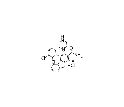 CCc1c2c(c(-c3cccc(Cl)c3Cl)c(N3CCNCC3)c1C(N)=O)-c1ccccc1C2.Cl